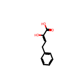 O=C(O)/C(O)=C/Cc1ccccc1